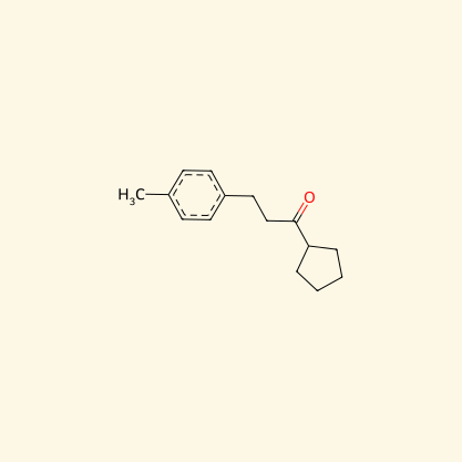 Cc1ccc(CCC(=O)C2CCCC2)cc1